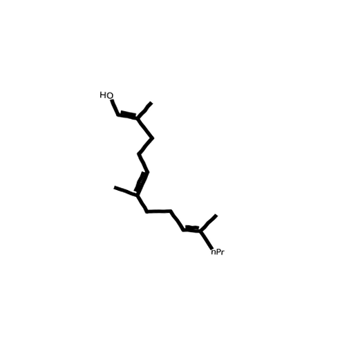 CCCC(C)=CCCC(C)=CCCC(C)=CO